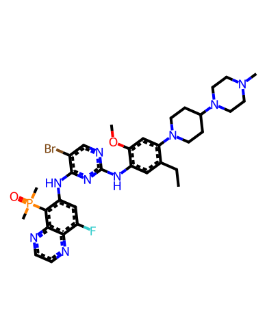 CCc1cc(Nc2ncc(Br)c(Nc3cc(F)c4nccnc4c3P(C)(C)=O)n2)c(OC)cc1N1CCC(N2CCN(C)CC2)CC1